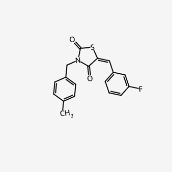 Cc1ccc(CN2C(=O)SC(=Cc3cccc(F)c3)C2=O)cc1